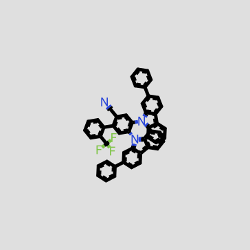 N#Cc1cc(-n2c3ccccc3c3ccc(-c4ccccc4)cc32)c(-n2c3ccccc3c3ccc(-c4ccccc4)cc32)cc1-c1ccccc1C(F)(F)F